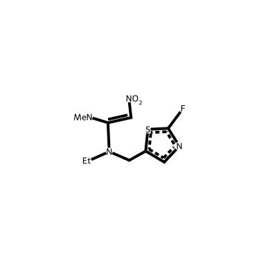 CCN(Cc1cnc(F)s1)C(=C[N+](=O)[O-])NC